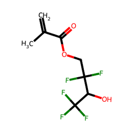 C=C(C)C(=O)OCC(F)(F)C(O)C(F)(F)F